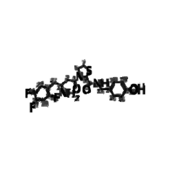 NC(CC(=O)N1CCSC1C(=O)NCc1ccc(O)cc1)Cc1cc(F)c(F)cc1F